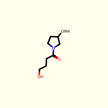 COC1CCN(C(=O)CCCO)C1